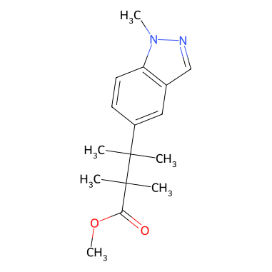 COC(=O)C(C)(C)C(C)(C)c1ccc2c(cnn2C)c1